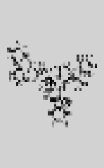 Cc1cc(-c2cc3ccccc3c3ccccc23)ccc1N(c1ccc2c(c1)C(C)(C)c1ccccc1-2)c1ccc2c(c1)oc1ccccc12